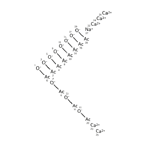 CC(=O)[O-].CC(=O)[O-].CC(=O)[O-].CC(=O)[O-].CC(=O)[O-].CC(=O)[O-].CC(=O)[O-].CC(=O)[O-].CC(=O)[O-].CC(=O)[O-].CC(=O)[O-].[Ca+2].[Ca+2].[Ca+2].[Ca+2].[Ca+2].[Na+]